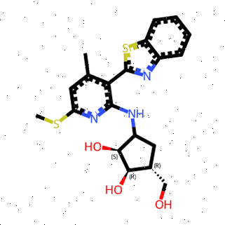 CSc1cc(C)c(-c2nc3ccccc3s2)c(NC2C[C@H](CO)[C@@H](O)[C@H]2O)n1